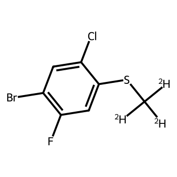 [2H]C([2H])([2H])Sc1cc(F)c(Br)cc1Cl